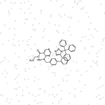 CCCCN(Cc1ccc(-c2ccccc2-c2nnnn2C(c2ccccc2)(c2ccccc2)c2ccccc2)cc1)c1ncncc1C(=O)OCOC(C)=O